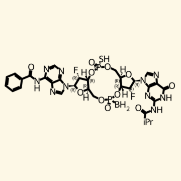 BP1(=O)OC[C@H]2O[C@@H](n3cnc4c(NC(=O)c5ccccc5)ncnc43)[C@H](F)[C@@H]2O[P@@](=O)(S)OC[C@H]2O[C@@H](n3cnc4c(=O)[nH]c(NC(=O)C(C)C)nc43)[C@H](F)[C@@H]2O1